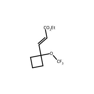 CCOC(=O)/C=C/C1(OC(F)(F)F)CCC1